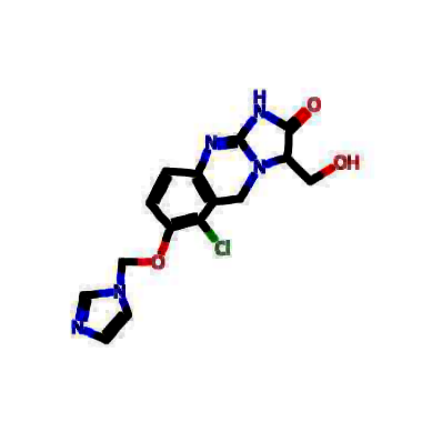 O=C1NC2=Nc3ccc(OCn4ccnc4)c(Cl)c3CN2C1CO